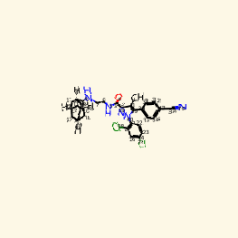 Cc1c(C(=O)NCCNC2[C@H]3C[C@@H]4C[C@@H](C[C@H]2C4)C3)nn(-c2ccc(Cl)cc2Cl)c1-c1ccc(C#N)cc1